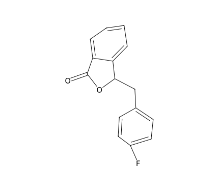 O=C1OC(Cc2ccc(F)cc2)c2ccccc21